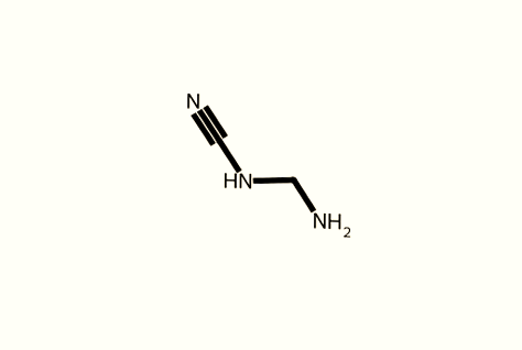 N#CNCN